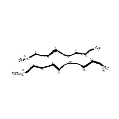 CCCCCCCCCCCCCCCCC(C)=O.CCCCCCCCCCCCCCCCCC(C)=O